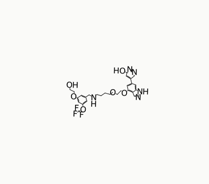 OCCOc1cc(CNCCCCOCCOc2cc(-c3cnnc(O)c3)cc3[nH]ncc23)cc(OC(F)(F)F)c1